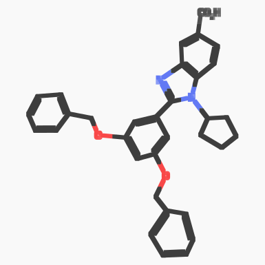 O=C(O)c1ccc2c(c1)nc(-c1cc(OCc3ccccc3)cc(OCc3ccccc3)c1)n2C1CCCC1